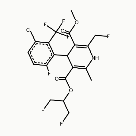 COC(=O)C1=C(CF)NC(C)=C(C(=O)OC(CF)CF)C1c1c(F)ccc(Cl)c1C(F)(F)F